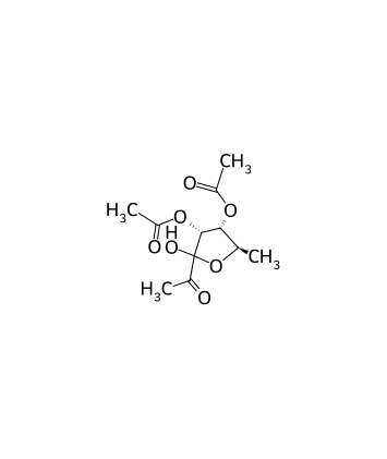 CC(=O)O[C@H]1[C@@H](OC(C)=O)C(O)(C(C)=O)O[C@@H]1C